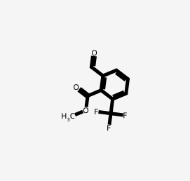 COC(=O)c1c(C=O)cccc1C(F)(F)F